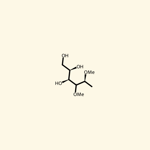 CO[C]([C@H](C)OC)[C@@H](O)[C@H](O)CO